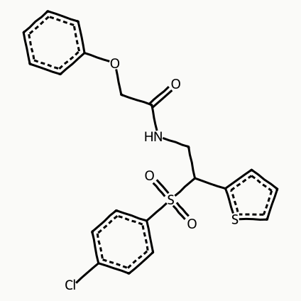 O=C(COc1ccccc1)NCC(c1cccs1)S(=O)(=O)c1ccc(Cl)cc1